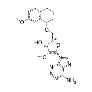 COc1ccc2c(c1)C(OC[C@H]1O[C@@H](n3cnc4c(N)ncnc43)[C@H](OC)[C@@H]1O)CCC2